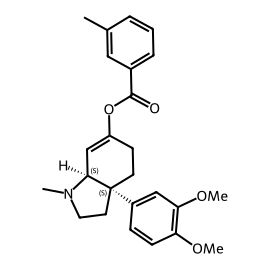 COc1ccc([C@@]23CCC(OC(=O)c4cccc(C)c4)=C[C@@H]2N(C)CC3)cc1OC